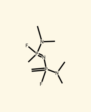 C=P(F)(N=P(C)(F)N(C)C)N(C)C